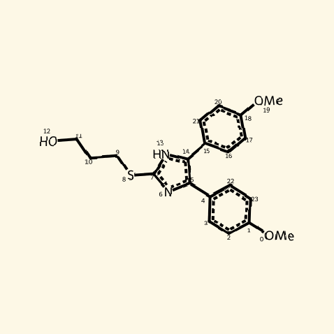 COc1ccc(-c2nc(SCCCO)[nH]c2-c2ccc(OC)cc2)cc1